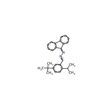 CC(C)c1ccc(C(C)(C)C)cc1/C=N/N=C1c2ccccc2-c2ccccc21